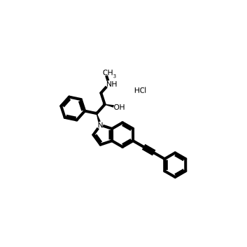 CNC[C@@H](O)[C@H](c1ccccc1)n1ccc2cc(C#Cc3ccccc3)ccc21.Cl